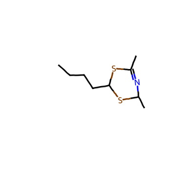 CCCCC1SC(C)=NC(C)S1